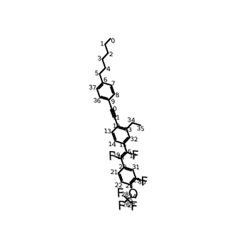 CCCCCCc1ccc(C#Cc2ccc(/C(F)=C(\F)c3ccc(OC(F)(F)F)c(F)c3)cc2CC)cc1